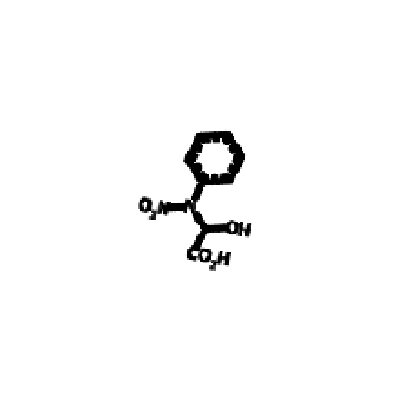 O=C(O)C(O)N(c1ccccc1)[N+](=O)[O-]